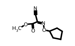 COC(=O)C(C#N)=NOC1CCCC1